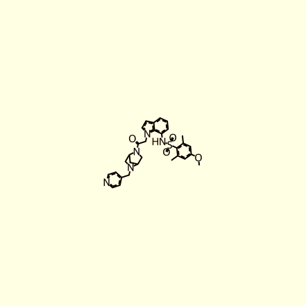 COc1cc(C)c(S(=O)(=O)Nc2cccc3ccn(CC(=O)N4CC5CC4CN5Cc4ccncc4)c23)c(C)c1